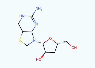 NC1=NC2C(CN1)SCN2[C@@H]1O[C@H](CO)C[C@H]1O